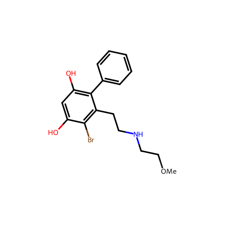 COCCNCCc1c(Br)c(O)cc(O)c1-c1ccccc1